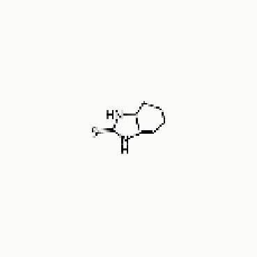 S=C1NC2=CCCCC2N1